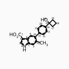 Cc1cc2[nH]cc(C(=O)O)c2cc1-c1ccc(C2(O)CCC2)cc1